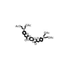 CC(=O)OCCN(CCOC(C)=O)c1ccc(C=C2C(=O)OC3(CCC4(CC3)OC(=O)C(=Cc3ccc(N(CCOC(C)=O)CCOC(C)=O)cc3)C(=O)O4)OC2=O)cc1